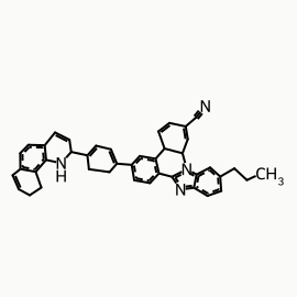 CCCc1ccc2nc3n(c2c1)C1C=C(C#N)C=CC1c1cc(C2=CC=C(C4C=Cc5ccc6c(c5N4)CCC=C6)CC2)ccc1-3